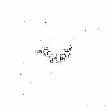 N#Cc1ccc(CN2CCN(C(=O)CCc3cccc(O)c3)CC2)cc1